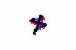 Cc1cc(=O)c(O)c(CNC(=O)CCC(CCC(=O)NCc2c(O)c(=O)cc(C)n2C)(CCC(=O)NCc2c(O)c(=O)cc(C)n2C)NC(=O)CCNC(=S)Nc2ccc(SC#N)cc2)n1C